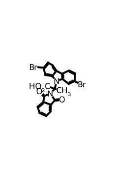 CC(C(=O)O)(N1C(=O)c2ccccc2C1=O)n1c2cc(Br)ccc2c2ccc(Br)cc21